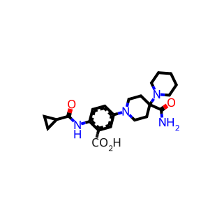 NC(=O)C1(N2CCCCC2)CCN(c2ccc(NC(=O)C3CC3)c(C(=O)O)c2)CC1